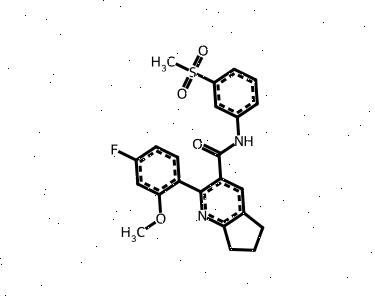 COc1cc(F)ccc1-c1nc2c(cc1C(=O)Nc1cccc(S(C)(=O)=O)c1)CCC2